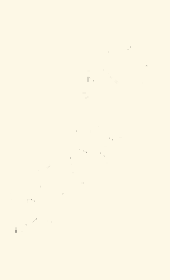 CC[C@H](C)C(=O)N(C)c1ccc(-n2cc(-c3cc4cc(F)ccc4[nH]c3=O)nn2)cc1